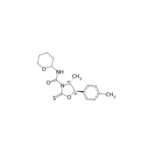 Cc1ccc([C@H]2OC(=S)N(C(=O)NC3CCCCO3)[C@@H]2C)cc1